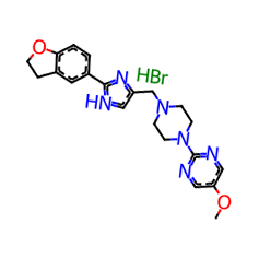 Br.COc1cnc(N2CCN(Cc3c[nH]c(-c4ccc5c(c4)CCO5)n3)CC2)nc1